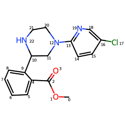 COC(=O)c1ccccc1C1CN(c2ccc(Cl)cn2)CCN1